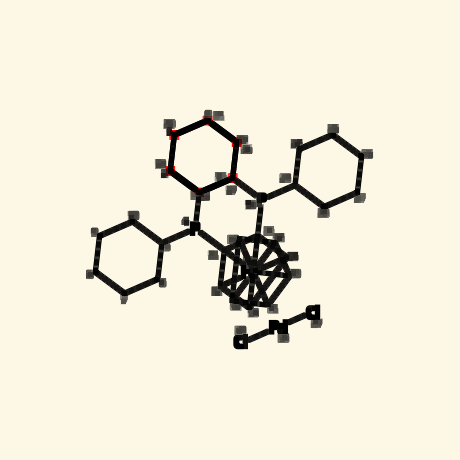 C1CCC(P(C2CCCCC2)[C]23[CH]4[CH]5[CH]6[C]2(P(C2CCCCC2)C2CCCCC2)[Fe]54632789[CH]3[CH]2[CH]7[CH]8[CH]39)CC1.[Cl][Pd][Cl]